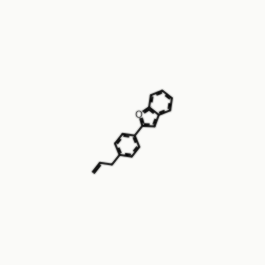 C=CCc1ccc(-c2cc3ccccc3o2)cc1